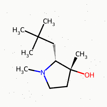 CN1CC[C@@](C)(O)[C@H]1CC(C)(C)C